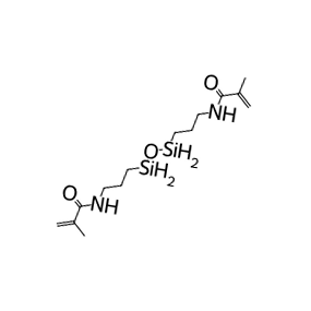 C=C(C)C(=O)NCCC[SiH2]O[SiH2]CCCNC(=O)C(=C)C